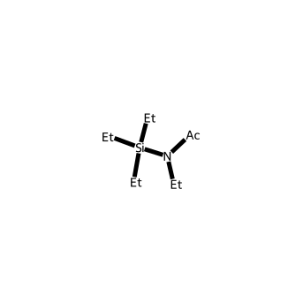 CCN(C(C)=O)[Si](CC)(CC)CC